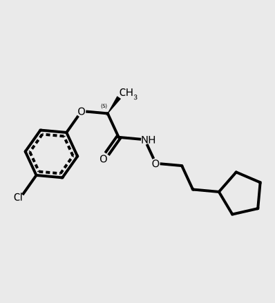 C[C@H](Oc1ccc(Cl)cc1)C(=O)NOCCC1CCCC1